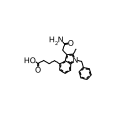 Cc1c(CC(N)=O)c2c(CCCC(=O)O)cccc2n1Cc1ccccc1